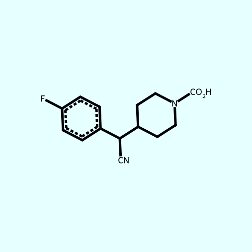 N#CC(c1ccc(F)cc1)C1CCN(C(=O)O)CC1